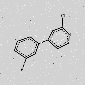 Fc1cc[c]c(-c2ccnc(Cl)c2)c1